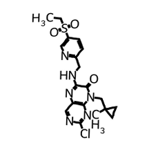 CCS(=O)(=O)c1ccc(CNc2nc3cnc(Cl)nc3n(CC3(C)CC3)c2=O)nc1